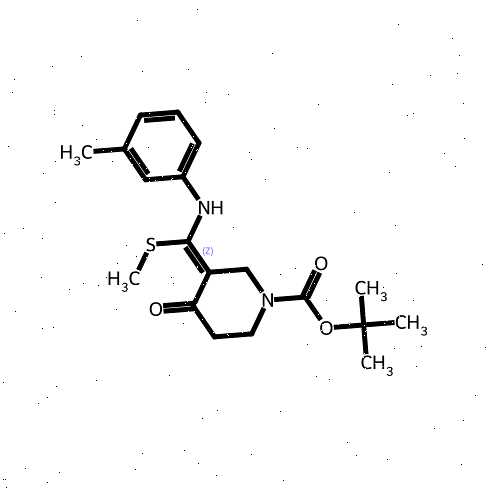 CS/C(Nc1cccc(C)c1)=C1/CN(C(=O)OC(C)(C)C)CCC1=O